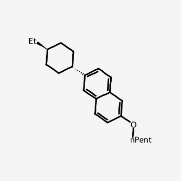 CCCCCOc1ccc2cc([C@H]3CC[C@H](CC)CC3)ccc2c1